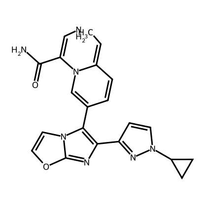 C/C=C1/C=CC(c2c(-c3ccn(C4CC4)n3)nc3occn23)=CN1/C(=C\N)C(N)=O